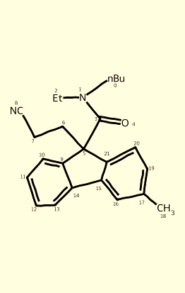 CCCCN(CC)C(=O)C1(CCC#N)c2ccccc2-c2cc(C)ccc21